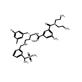 CCCN(CCC)C(=O)c1cc(C)cc(C(=O)N[C@@H](Cc2cc(F)cc(F)c2)[C@H](O)CNCc2cccc(C(C)S(C)(=O)=O)c2)c1